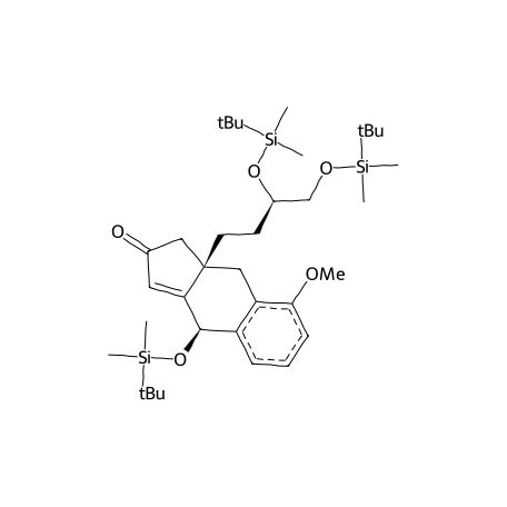 COc1cccc2c1C[C@@]1(CC[C@H](CO[Si](C)(C)C(C)(C)C)O[Si](C)(C)C(C)(C)C)CC(=O)C=C1[C@@H]2O[Si](C)(C)C(C)(C)C